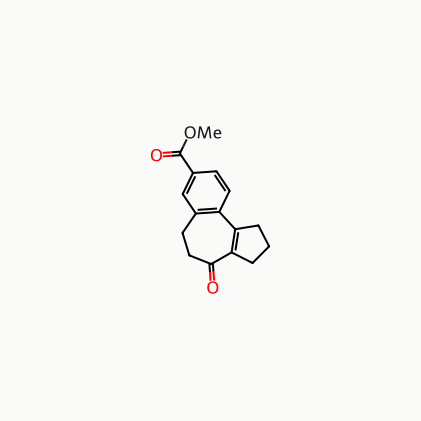 COC(=O)c1ccc2c(c1)CCC(=O)C1=C2CCC1